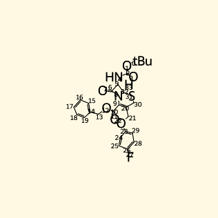 CC(C)(C)OC(=O)NC1C(=O)N2C(C(=O)OCc3ccccc3)=C(COc3ccc(F)cc3)CS[C@H]12